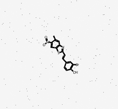 Cc1cc2nc(C=Cc3ccc(O)c(Br)c3)sc2cc1[N+](=O)[O-]